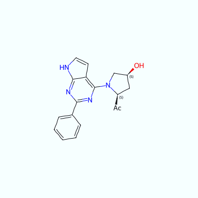 CC(=O)[C@@H]1C[C@H](O)CN1c1nc(-c2ccccc2)nc2[nH]ccc12